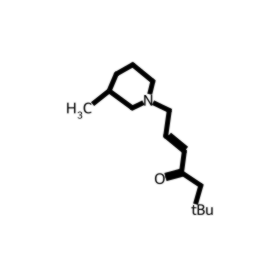 CC1CCCN(C/C=C/C(=O)CC(C)(C)C)C1